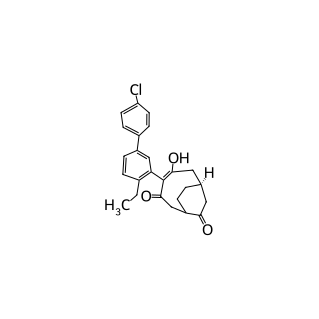 CCc1ccc(-c2ccc(Cl)cc2)cc1/C1=C(\O)C[C@@H]2CCC(CC1=O)C(=O)C2